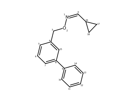 [C](=N/OCc1cccc(-c2ccccc2)c1)/C1CC1